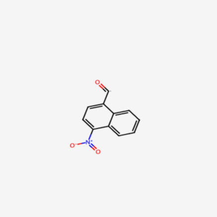 O=[C]c1ccc([N+](=O)[O-])c2ccccc12